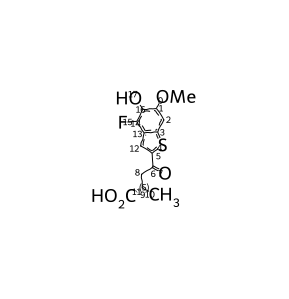 COc1cc2sc(C(=O)C[C@H](C)C(=O)O)cc2c(F)c1O